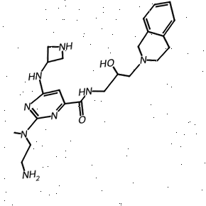 CN(CCN)c1nc(NC2CNC2)cc(C(=O)NCC(O)CN2CCc3ccccc3C2)n1